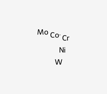 [Co].[Cr].[Mo].[Ni].[W]